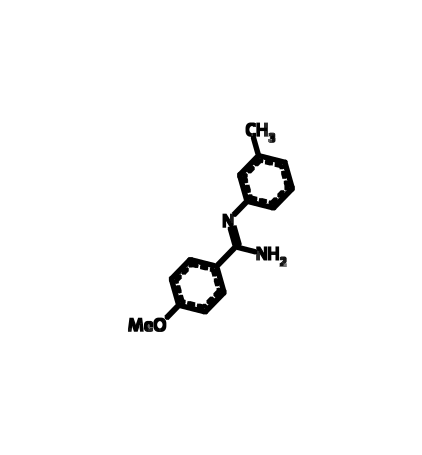 COc1ccc(/C(N)=N/c2cccc(C)c2)cc1